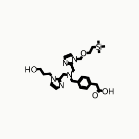 C[Si](C)(C)CCOCn1ccnc1CN(Cc1ccc(CC(=O)O)cc1)Cc1nccn1CCCO